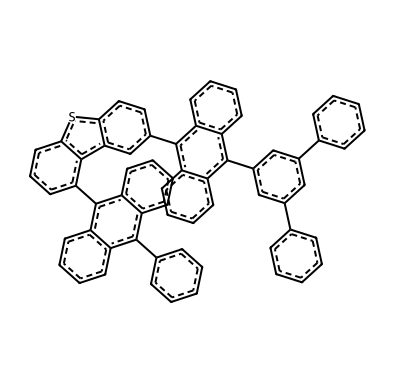 c1ccc(-c2cc(-c3ccccc3)cc(-c3c4ccccc4c(-c4ccc5sc6cccc(-c7c8ccccc8c(-c8ccccc8)c8ccccc78)c6c5c4)c4ccccc34)c2)cc1